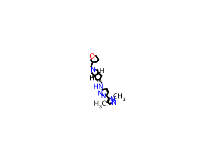 Cc1cnn(C)c1-c1ccc(NC[C@H]2C[C@@H]3CN(CC4CCCOC4)C[C@@H]3C2)nn1